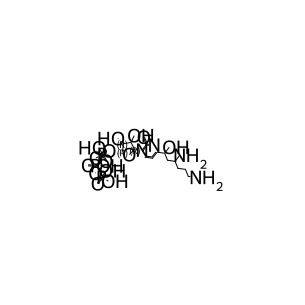 NCCCC(N)CC(O)c1ccn([C@@H]2O[C@H](COP(=O)(O)OP(=O)(O)OP(=O)(O)O)[C@H](O)C2O)c(=O)n1